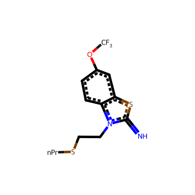 CCCSCCn1c(=N)sc2cc(OC(F)(F)F)ccc21